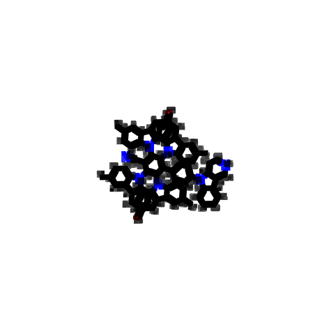 Cc1ccc2c(c1)c1cc(C)ccc1n2-c1c(C#N)c(-n2c3ccc(C)cc3c3cc(C)ccc32)c(-n2c3ccc(C)cc3c3cc(C)ccc32)c(-c2ccc(-n3c4ccccc4c4cnccc43)cc2)c1-n1c2ccc(C)cc2c2cc(C)ccc21